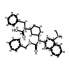 CN(C)c1nc(N(C(=O)OCc2ccccc2)C2CCCC(N(Cc3ccccc3)C(=O)O)C2)nc2ccccc12